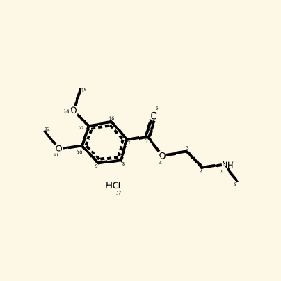 CNCCOC(=O)c1ccc(OC)c(OC)c1.Cl